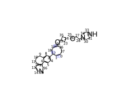 C1=C/C(c2ccc3c(c2)CCCc2ccncc2-3)=C\C=C(\O[C@H]2C[C@@H](COCCN3CCNCC3)C2)CC\1